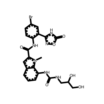 Cn1c(C(=O)Nc2ccc(Br)cc2-c2noc(=O)[nH]2)cc2cccc(NC(=O)NCC(O)CO)c21